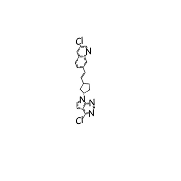 Clc1cnc2cc(/C=C/C3CC[C@H](n4ccc5c(Cl)ncnc54)C3)ccc2c1